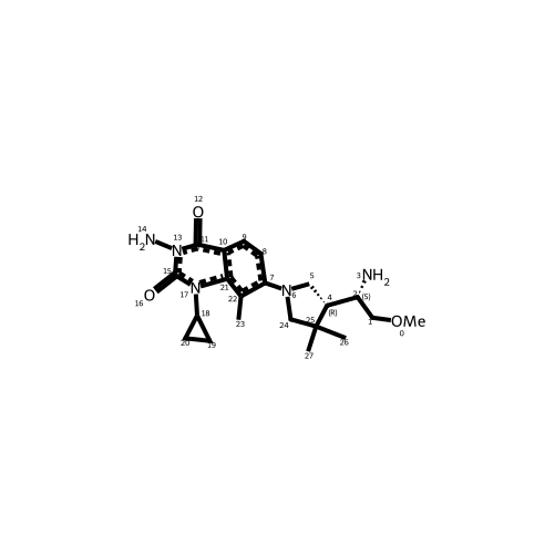 COC[C@@H](N)[C@H]1CN(c2ccc3c(=O)n(N)c(=O)n(C4CC4)c3c2C)CC1(C)C